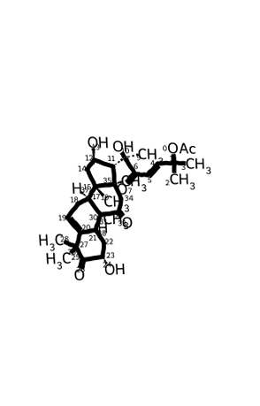 CC(=O)OC(C)(C)/C=C/C(=O)[C@](C)(O)[C@H]1[C@H](O)C[C@@]2(C)[C@@H]3CC=C4[C@@H](C[C@H](O)C(=O)C4(C)C)[C@]3(C)C(=O)C[C@]12C